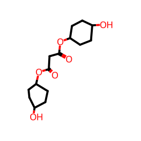 O=C(CC(=O)OC1CCC(O)CC1)OC1CCC(O)CC1